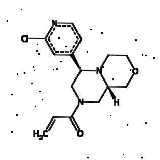 C=CC(=O)N1C[C@H]2COCCN2[C@H](c2ccnc(Cl)c2)C1